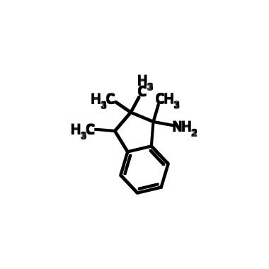 CC1c2ccccc2C(C)(N)C1(C)C